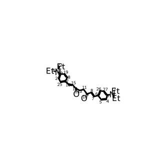 CCN(CC)c1ccc(/C=C/C(=O)CC2OC2/C=C/c2ccc(N(CC)CC)cc2)cc1